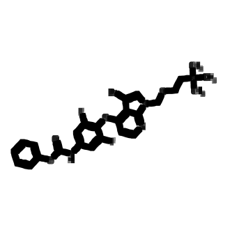 C[Si](C)(C)CCOCn1cc(Br)c2c(Oc3c(F)cc(NC(=O)Oc4ccccc4)cc3F)ccnc21